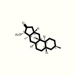 CC(=O)O[C@@H]1C(=O)C[C@@H]2C[C@H]3[C@@H](CC[C@H]4C[C@H](C)CC[C@@H]43)C[C@]21C